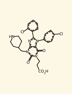 O=C(O)CCn1c(=O)c2c(nc(-c3ccccc3Cl)n2-c2ccc(Cl)cc2)n(CC2CCNCC2)c1=O